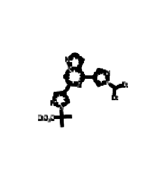 CCOC(=O)C(C)(C)n1cc(-c2cn3nccc3c(-c3cnn(C(CC)CC)c3)n2)cn1